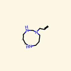 C=CCN1CCCN[CH][CH]CNC1